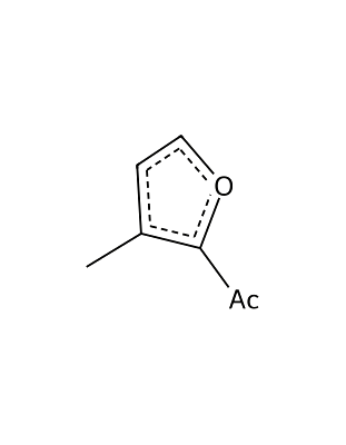 CC(=O)c1occc1C